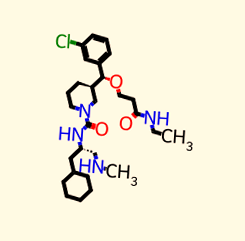 CCNC(=O)CCO[C@H](c1cccc(Cl)c1)[C@@H]1CCCN(C(=O)N[C@H](CNC)CC2CCCCC2)C1